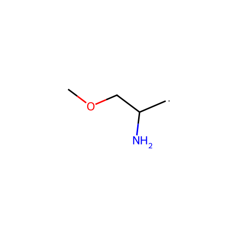 [CH2]C(N)COC